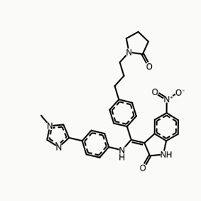 Cn1cnc(-c2ccc(N/C(=C3\C(=O)Nc4ccc([N+](=O)[O-])cc43)c3ccc(CCCN4CCCC4=O)cc3)cc2)c1